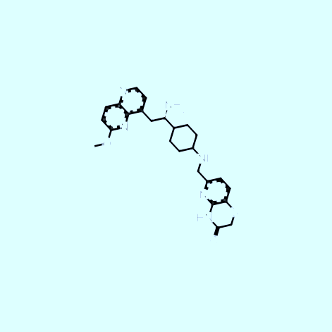 COc1ccc2nccc(C[C@@H](N)C3CCC(NCc4ccc5c(n4)NC(=O)CS5)CC3)c2n1